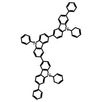 C1=CCC(n2c3ccc(-c4ccc5c(c4)c4cc(-c6ccc7c(c6)c6ccc(-c8ccccc8)cc6n7C6C=CC=CC6)ccc4n5-c4ccccc4)cc3c3ccc(-c4ccccc4)cc32)C=C1